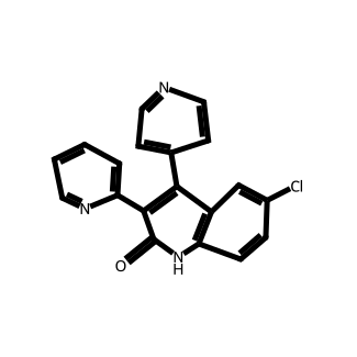 O=c1[nH]c2ccc(Cl)cc2c(-c2ccncc2)c1-c1ccccn1